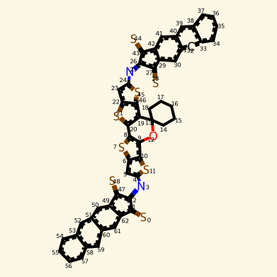 S=c1c(=Nc2cc3sc4c(c3s2)OC2(CCCCC2)c2c-4sc3cc(N=c4c(=S)c5cc6cc7ccccc7cc6cc5c4=S)sc23)c(=S)c2cc3cc4ccccc4cc3cc12